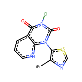 CC(C)c1ncsc1-n1c(=O)n(Cl)c(=O)c2cccnc21